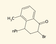 CCCC1CC(Br)C(=O)c2cccc(C)c21